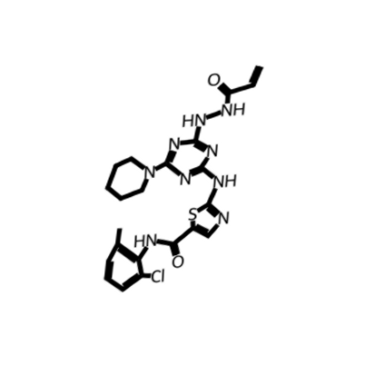 C=CC(=O)NNc1nc(Nc2ncc(C(=O)Nc3c(C)cccc3Cl)s2)nc(N2CCCCC2)n1